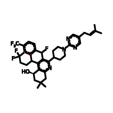 CC(C)=CCc1cnc(N2CCC(c3nc4c(c(C5CCC(F)(F)CC5)c3C(F)c3ccc(C(F)(F)F)cc3)[C@@H](O)CC(C)(C)C4)CC2)nc1